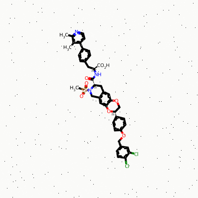 Cc1nccc(-c2ccc(C[C@H](NC(=O)[C@@H]3Cc4cc5c(cc4CN3S(C)(=O)=O)O[C@@H](c3ccc(OCc4ccc(Cl)c(Cl)c4)cc3)CO5)C(=O)O)cc2)c1C